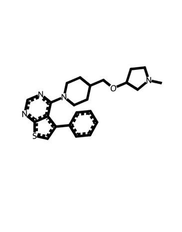 CN1CCC(OCC2CCN(c3ncnc4scc(-c5ccccc5)c34)CC2)C1